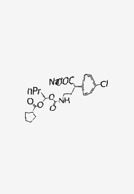 CCCC(OC(=O)NCCC(C(=O)[O-])c1ccc(Cl)cc1)OC(=O)C1CCCC1.[Na+]